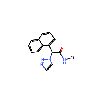 CCNC(=O)C(c1cccc2ccccc12)n1ccnn1